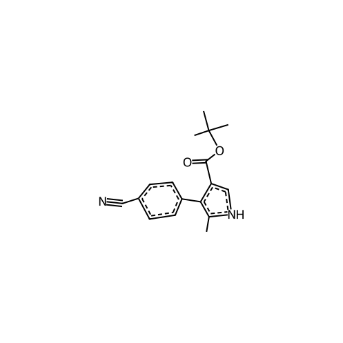 Cc1[nH]cc(C(=O)OC(C)(C)C)c1-c1ccc(C#N)cc1